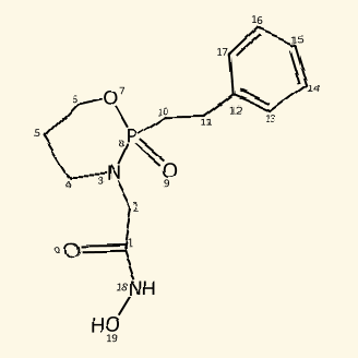 O=C(CN1CCCOP1(=O)CCc1ccccc1)NO